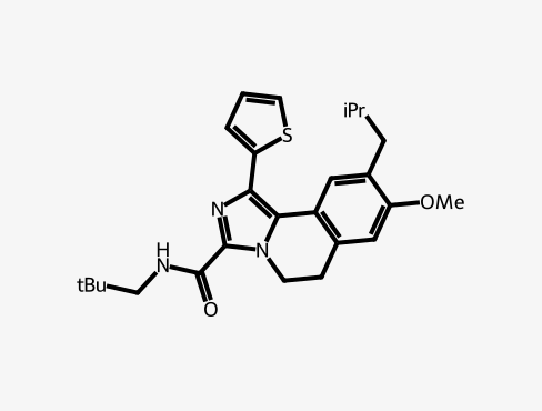 COc1cc2c(cc1CC(C)C)-c1c(-c3cccs3)nc(C(=O)NCC(C)(C)C)n1CC2